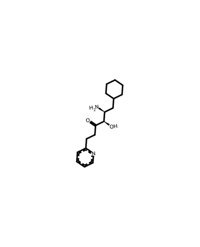 N[C@@H](CC1CCCCC1)[C@@H](O)C(=O)CCc1ccccn1